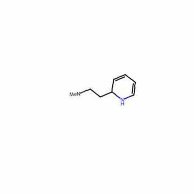 CNCCC1C=CC=CN1